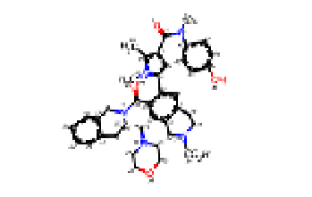 CCCCN(C(=O)c1cc(-c2cc3c(cc2C(=O)N2Cc4ccccc4C[C@H]2CN2CCOCC2)CN(C(=O)O)CC3)n(C)c1C)c1ccc(O)cc1